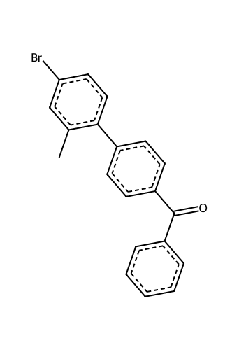 Cc1cc(Br)ccc1-c1ccc(C(=O)c2ccccc2)cc1